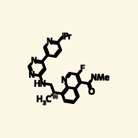 CNC(=O)c1c(F)cnc2c([C@H](C)CNc3cc(-c4ccc(C(C)C)nc4)ncn3)cccc12